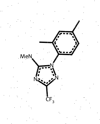 CNc1nc(C(F)(F)F)nn1-c1ccc(C)cc1C